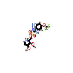 COc1ccnc(COS(=O)(=O)c2nc3cc(OC(F)F)ccc3[nH]2)c1OC